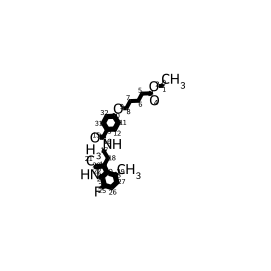 CCOC(=O)CCCCOc1ccc(C(=O)NCCc2c(C)[nH]c3c(F)ccc(C)c23)cc1